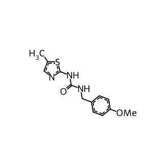 COc1ccc(CNC(=O)Nc2ncc(C)s2)cc1